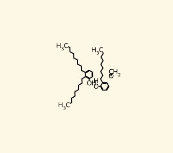 C=O.CCCCCCCCCc1cccc(O)c1CCCCCCCCC.CCCCCCCCCc1ccccc1O